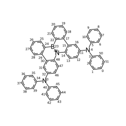 c1ccc(N(c2ccccc2)c2ccc3c(c2)-c2ccccc2B2c4ccccc4-c4cc(N(c5ccccc5)c5ccccc5)ccc4N23)cc1